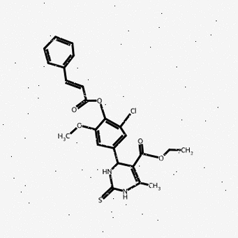 CCOC(=O)C1=C(C)NC(=S)NC1c1cc(Cl)c(OC(=O)/C=C/c2ccccc2)c(OC)c1